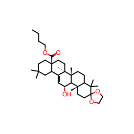 CCCCOC(=O)[C@]12CCC(C)(C)CC1C1=C[C@H](O)C3[C@@]4(C)CCC5(OCCO5)C(C)(C)C4CC[C@@]3(C)[C@]1(C)CC2